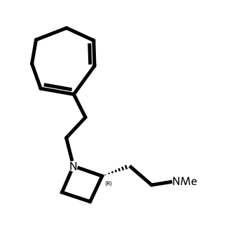 CNCC[C@@H]1CCN1CCC1=CCCCC=C1